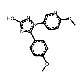 COc1ccc(-c2nc(O)nn2-c2ccc(OC)nc2)cc1